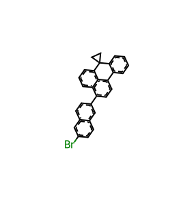 Brc1ccc2cc(-c3ccc4c5c(cccc35)C3(CC3)c3ccccc3-4)ccc2c1